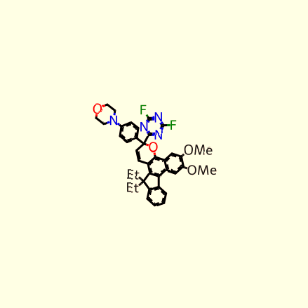 CCC1(CC)c2ccccc2-c2c1c1c(c3cc(OC)c(OC)cc23)OC(c2ccc(N3CCOCC3)cc2)(c2nc(F)nc(F)n2)C=C1